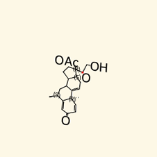 CC(=O)O[C@]1(C(=O)CO)CCC2C3C[C@H](C)C4=CC(=O)C=C[C@]4(C)C3=CC[C@@]21C